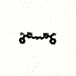 CC(C)C(c1ccccc1)c1cn(CCOCCn2cc(C(c3ccccc3)C(C)C)nn2)nn1